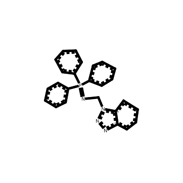 c1ccc(P(=NCn2nnc3ccccc32)(c2ccccc2)c2ccccc2)cc1